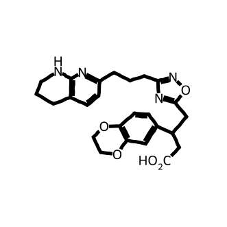 O=C(O)CC(Cc1nc(CCCc2ccc3c(n2)NCCC3)no1)c1ccc2c(c1)OCCO2